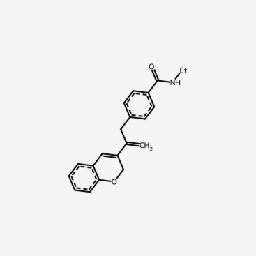 C=C(Cc1ccc(C(=O)NCC)cc1)C1=Cc2ccccc2OC1